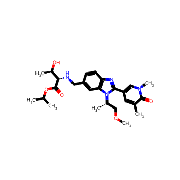 COC[C@H](C)n1c(-c2cc(C)c(=O)n(C)c2)nc2ccc(CN[C@H](C(=O)OC(C)C)[C@@H](C)O)cc21